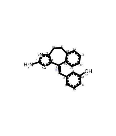 Nc1nc2c(s1)/C(=C/c1cccc(O)c1)c1ccccc1CC2